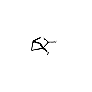 FC1OC2CC1(F)C2